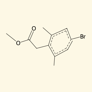 COC(=O)Cc1c(C)cc(Br)cc1C